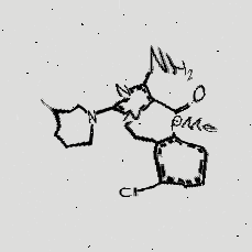 COC(=O)c1c(N)nc(N2CCCCC2)n1Cc1c(F)cccc1Cl